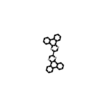 c1ccc2c(c1)c1ccccc1c1nc(-c3cnc4c5ccccc5c5ccccc5c4n3)cnc21